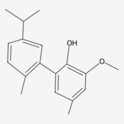 COc1cc(C)cc(-c2cc(C(C)C)ccc2C)c1O